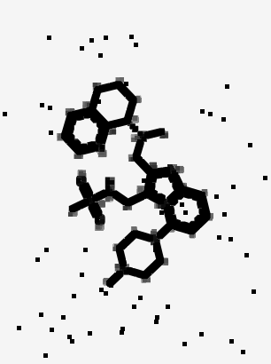 CN1CCN(c2cccc3nc(CN(C)[C@H]4CCCc5cccnc54)c(CNS(C)(=O)=O)n23)CC1